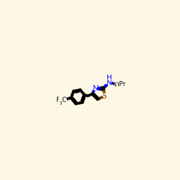 CCCNc1nc(-c2ccc(C(F)(F)F)cc2)cs1